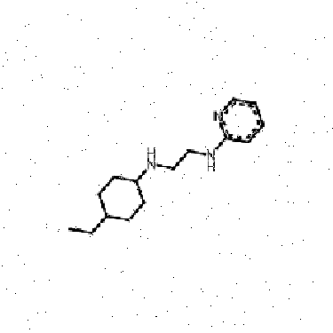 CCC1[CH]CC(NCCNc2ccccn2)CC1